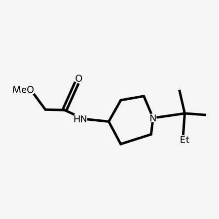 CCC(C)(C)N1CCC(NC(=O)COC)CC1